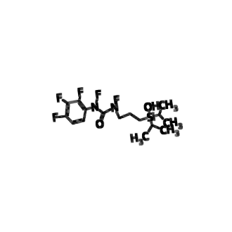 CC(C)[Si](O)(CCCN(F)C(=O)N(F)c1ccc(F)c(F)c1F)C(C)C